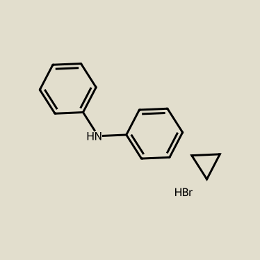 Br.C1CC1.c1ccc(Nc2ccccc2)cc1